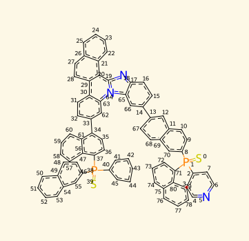 S=P(c1ccncc1)(c1ccc2cc(-c3ccc4nc5c6c7ccccc7ccc6c6ccc(-c7ccc(P(=S)(c8ccccc8)c8ccc9ccccc9c8)c8ccccc78)cc6n5c4c3)ccc2c1)c1cccc2ccccc12